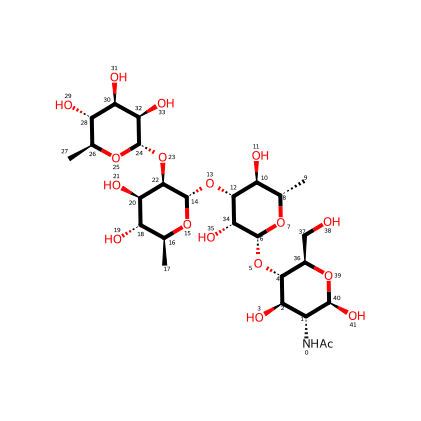 CC(=O)N[C@@H]1[C@@H](O)[C@H](O[C@H]2O[C@@H](C)[C@H](O)[C@@H](O[C@@H]3O[C@@H](C)[C@H](O)[C@@H](O)[C@H]3O[C@@H]3O[C@@H](C)[C@H](O)[C@@H](O)[C@H]3O)[C@H]2O)[C@@H](CO)O[C@H]1O